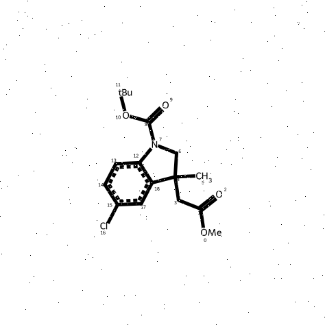 COC(=O)CC1(C)CN(C(=O)OC(C)(C)C)c2ccc(Cl)cc21